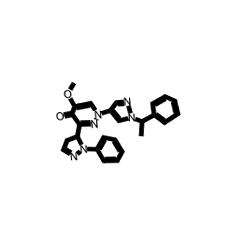 COc1cn(-c2cnn(C(C)c3ccccc3)c2)nc(C2CC=NN2c2ccccc2)c1=O